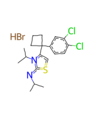 Br.CC(C)N=c1scc(C2(c3ccc(Cl)c(Cl)c3)CCC2)n1C(C)C